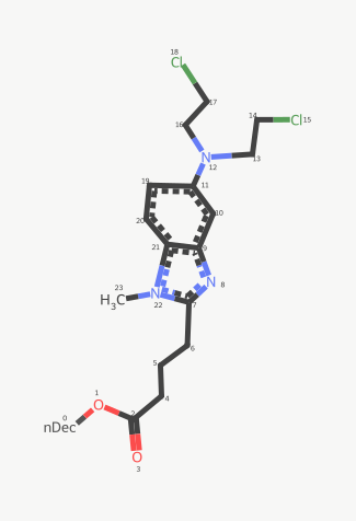 CCCCCCCCCCOC(=O)CCCc1nc2cc(N(CCCl)CCCl)ccc2n1C